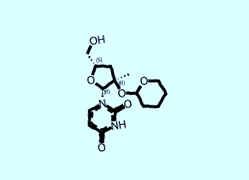 C[C@@]1(OC2CCCCO2)C[C@@H](CO)O[C@H]1n1ccc(=O)[nH]c1=O